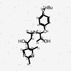 CCCCOc1ccc(OC(NC(C)CC(O)c2cnc(C)nc2C)C(C)O)cc1